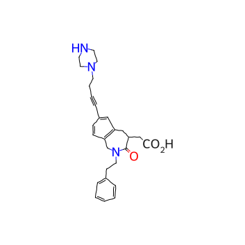 O=C(O)CC1Cc2cc(C#CCCN3CCNCC3)ccc2CN(CCc2ccccc2)C1=O